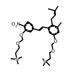 CC(C)=CCc1c(C)cc(OCOCC[Si](C)(C)C)cc1/C=C/c1ccc([N+](=O)[O-])c(OCOCC[Si](C)(C)C)c1